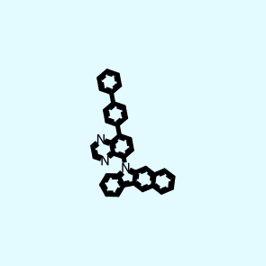 c1ccc(-c2ccc(-c3ccc(-n4c5ccccc5c5cc6ccccc6cc54)c4nccnc34)cc2)cc1